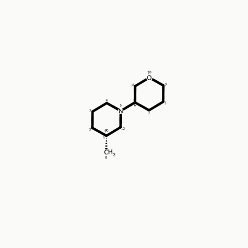 C[C@@H]1CCCN(C2CCCOC2)C1